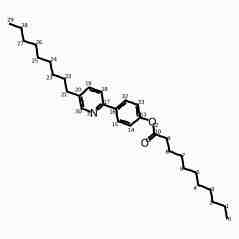 CCCCCCCCCCC(=O)Oc1ccc(-c2ccc(CCCCCCCCC)cn2)cc1